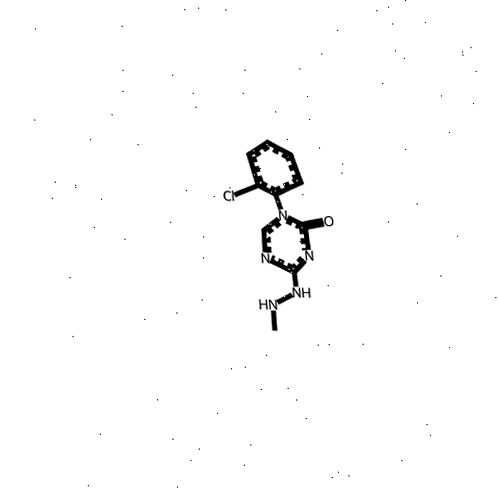 CNNc1ncn(-c2ccccc2Cl)c(=O)n1